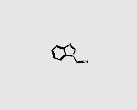 N=Cn1nnc2ccccc21